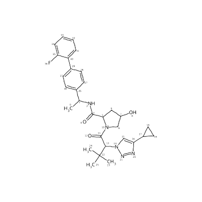 CC(NC(=O)C1CC(O)CN1C(=O)C(n1cc(C2CC2)nn1)C(C)(C)C)c1ccc(-c2ccccc2F)cc1